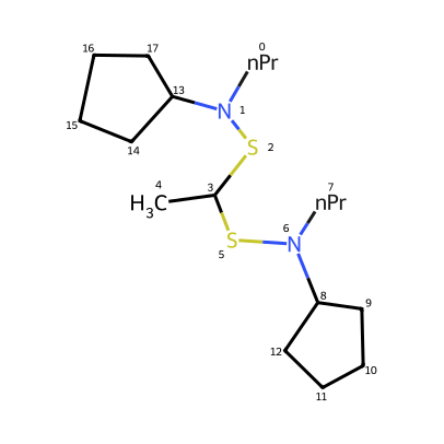 CCCN(SC(C)SN(CCC)C1CCCC1)C1CCCC1